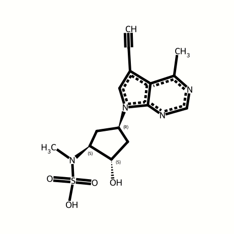 C#Cc1cn([C@H]2C[C@H](O)[C@@H](N(C)S(=O)(=O)O)C2)c2ncnc(C)c12